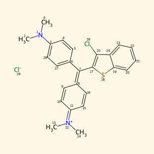 CN(C)c1ccc(C(=C2C=CC(=[N+](C)C)C=C2)c2sc3ccccc3c2Cl)cc1.[Cl-]